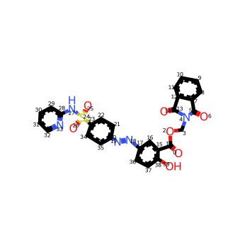 O=C(OCN1C(=O)c2ccccc2C1=O)c1cc(/N=N/c2ccc(S(=O)(=O)Nc3ccccn3)cc2)ccc1O